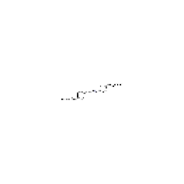 CCCC=CC1CCC(CC/C=C/C2CCC(CCCCC)CC2)CC1